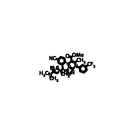 COC(=O)C1=C(C)N(c2cccc(C(F)(F)F)c2)c2n[nH]c(=O)n2[C@@H]1c1ccc(C#N)cc1C[N+](C)(C)CC(=O)N(C)C